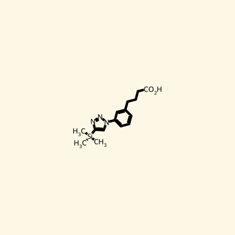 C[Si](C)(C)c1cn(-c2cccc(CCCC(=O)O)c2)nn1